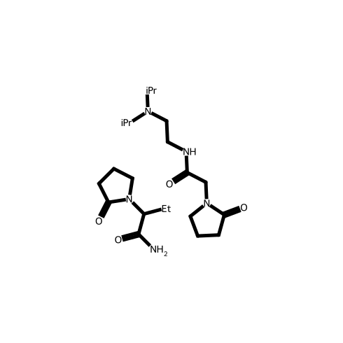 CC(C)N(CCNC(=O)CN1CCCC1=O)C(C)C.CCC(C(N)=O)N1CCCC1=O